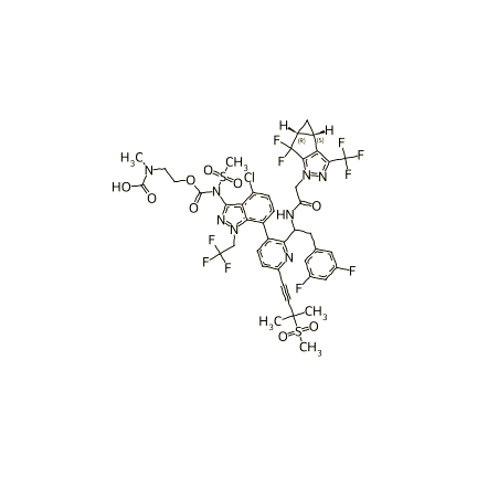 CN(CCOC(=O)N(c1nn(CC(F)(F)F)c2c(-c3ccc(C#CC(C)(C)S(C)(=O)=O)nc3C(Cc3cc(F)cc(F)c3)NC(=O)Cn3nc(C(F)(F)F)c4c3C(F)(F)[C@@H]3C[C@H]43)ccc(Cl)c12)S(C)(=O)=O)C(=O)O